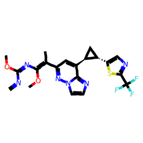 C=N/C(=N\C(OC)=C(/C)c1cc([C@H]2C[C@@H]2c2cnc(C(F)(F)F)s2)c2nccn2n1)OC